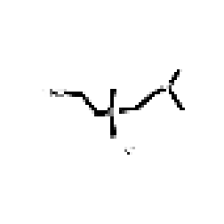 CCCCCCCC[N+](C)(C)CCN(C)C.[Cl-]